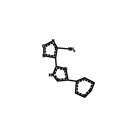 Nc1nonc1-c1nc(-c2ccccc2)c[nH]1